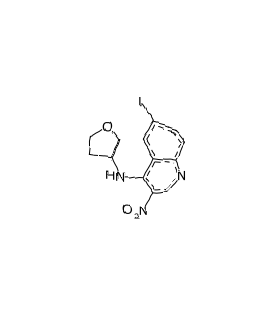 O=[N+]([O-])c1cnc2ccc(I)cc2c1NC1CCOC1